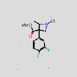 CCN1CC(C(=O)OC)(c2ccc(F)c(F)c2)C1C